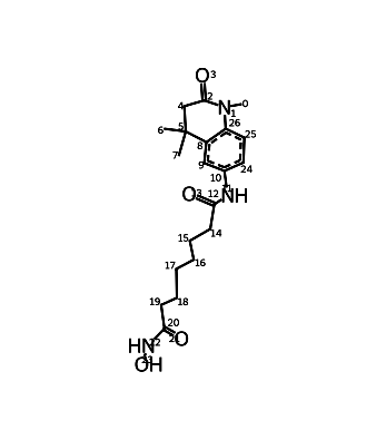 CN1C(=O)CC(C)(C)c2cc(NC(=O)CCCCCCC(=O)NO)ccc21